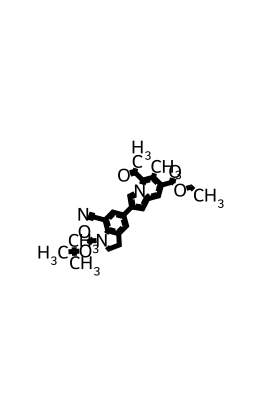 CCOC(=O)c1cc2cc(-c3cc(C#N)c4c(c3)CCN4C(=O)OC(C)(C)C)cn2c(C(C)=O)c1C